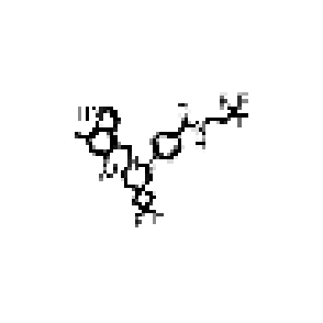 COc1cc(C)c2[nH]ccc2c1CN1CCC2(C[C@H]1c1ccc(C(=O)NCCC(F)(F)F)cc1)CC(F)(F)C2